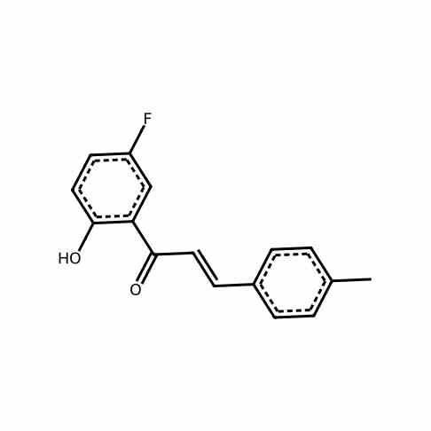 Cc1ccc(C=CC(=O)c2cc(F)ccc2O)cc1